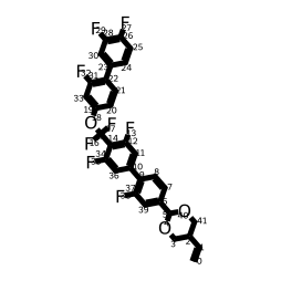 C=CC1COC(c2ccc(-c3cc(F)c(C(F)(F)Oc4ccc(-c5ccc(F)c(F)c5)c(F)c4)c(F)c3)c(F)c2)OC1